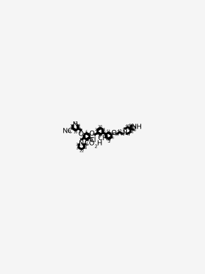 Cc1c(COc2cc(OCc3cncc(C#N)c3)c(CN3CCCC[C@H]3C(=O)O)cc2Cl)cccc1-c1cccc(OCCCN2CCC3(CC2)CNC3)c1